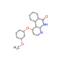 COc1cccc(Oc2ccnc3[nH]c(=O)c4ccccc4c23)c1